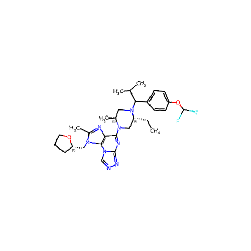 CC[C@@H]1CN(c2nc3nncn3c3c2nc(C)n3C[C@@H]2CCCO2)[C@@H](C)CN1C(c1ccc(OC(F)F)cc1)C(C)C